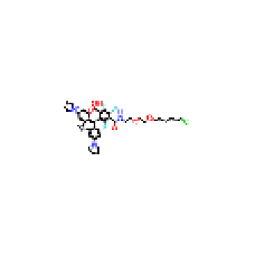 C[Si]1(C)C2=CC(=[N+]3CCCC3)C=CC2=C(c2c(F)c(C(=O)NCCOCCOCCCCCCCl)c(F)c(F)c2C(=O)O)c2ccc(N3CCCC3)cc21